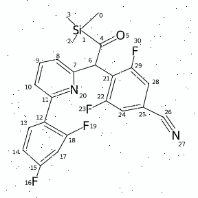 C[Si](C)(C)C(=O)C(c1cccc(-c2ccc(F)cc2F)n1)c1c(F)cc(C#N)cc1F